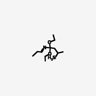 CCC=NC(CC(C)[SiH3])(OCC)OCC